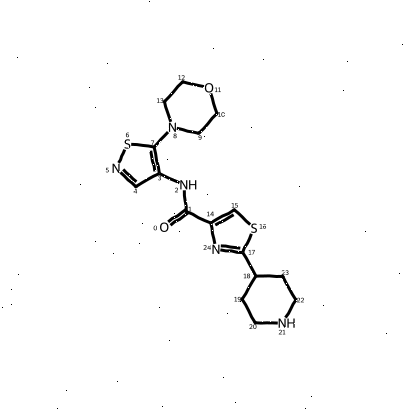 O=C(Nc1cnsc1N1CCOCC1)c1csc(C2CCNCC2)n1